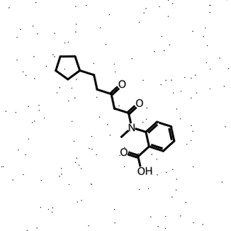 CN(C(=O)CC(=O)CCC1CCCC1)c1ccccc1C(=O)O